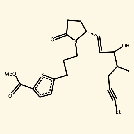 CCC#CCC(C)C(O)/C=C/[C@H]1CCC(=O)N1CCCc1ccc(C(=O)OC)s1